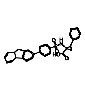 O=C(O)C1(NS(=O)(=O)c2ccc(-c3ccc4c(c3)CC3C=CC=CC43)cc2)CC1c1ccccc1